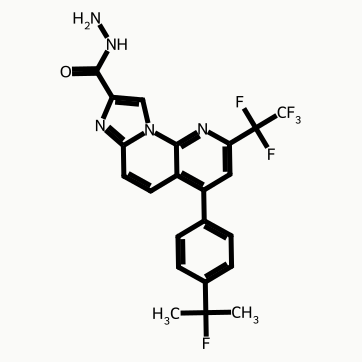 CC(C)(F)c1ccc(-c2cc(C(F)(F)C(F)(F)F)nc3c2ccc2nc(C(=O)NN)cn23)cc1